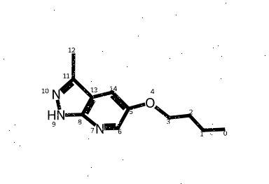 CCCCOc1cnc2[nH]nc(C)c2c1